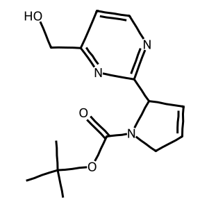 CC(C)(C)OC(=O)N1CC=CC1c1nccc(CO)n1